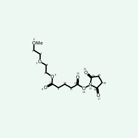 COCCOCCOC(=O)CCCC(=O)ON1C(=O)CCC1=O